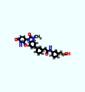 Cn1c(=O)n(C2CCC(=O)NC2=O)c2ccc(-c3cccc(CC(=O)Nc4cccc(CSO)c4)c3)cc21